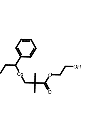 CC[CH]([Co][CH2]C(C)(C)C(=O)OCCO)c1ccccc1